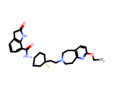 O=C1Cc2cccc(C(=O)N[C@H]3CC[C@](F)(CCN4CCc5ccc(OCC(F)(F)F)nc5CC4)CC3)c2N1